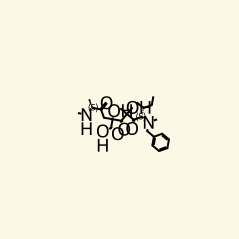 CCC(C)[C@@H](C(=O)C(C)(O)C(=O)C(O)(CC(=O)[C@H](C)NC)C(=O)O)N(C)Cc1ccccc1